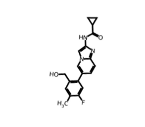 Cc1cc(CO)c(-c2ccc3nc(NC(=O)C4CC4)cn3c2)cc1F